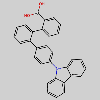 OB(O)c1ccccc1-c1ccccc1-c1ccc(-n2c3ccccc3c3ccccc32)cc1